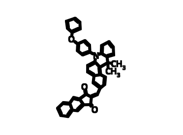 CC1(C)c2ccccc2N(c2ccc(Oc3ccccc3)cc2)c2ccc3cc(C=C4C(=O)c5cc6ccccc6cc5C4=O)ccc3c21